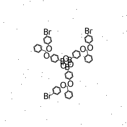 Brc1ccc(OC(Oc2ccc(B3OB(c4ccc(OC(Oc5ccc(Br)cc5)c5ccccc5)cc4)OB(c4ccc(OC(Oc5ccc(Br)cc5)c5ccccc5)cc4)O3)cc2)c2ccccc2)cc1